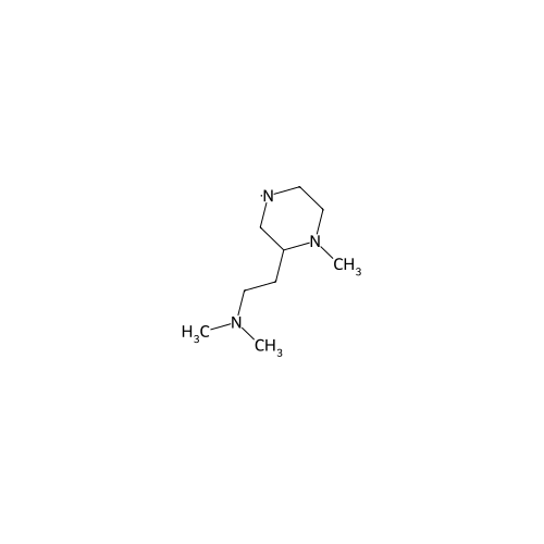 CN(C)CCC1C[N]CCN1C